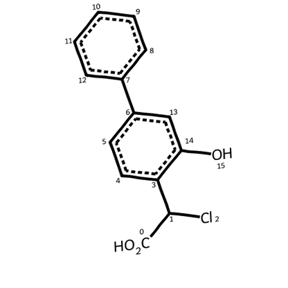 O=C(O)C(Cl)c1ccc(-c2ccccc2)cc1O